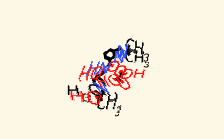 CC(C)n1cc2cccc(C(=O)NCC3(O)CCN(CC(C)(C)O)CC3)c2n1.O=C(O)C(=O)O